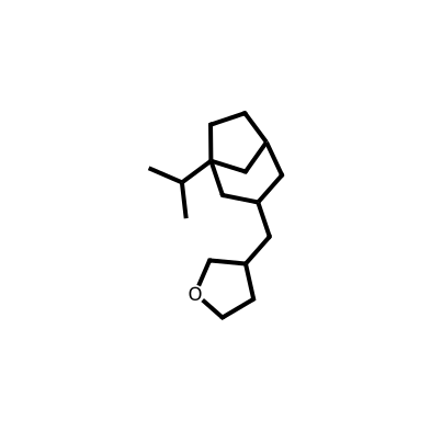 CC(C)C12CCC(CC(CC3CCOC3)C1)C2